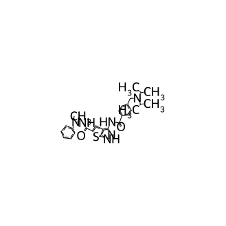 CC(C)N(Cc1ccc(C(=O)Nc2n[nH]c3sc(C(=O)NN(C)c4ccccc4)cc23)cc1)C(C)C